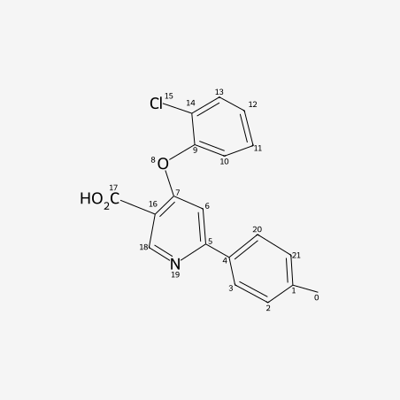 Cc1ccc(-c2cc(Oc3ccccc3Cl)c(C(=O)O)cn2)cc1